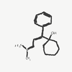 CN(C)CC=C(c1ccccc1)C1(O)CCCCC1